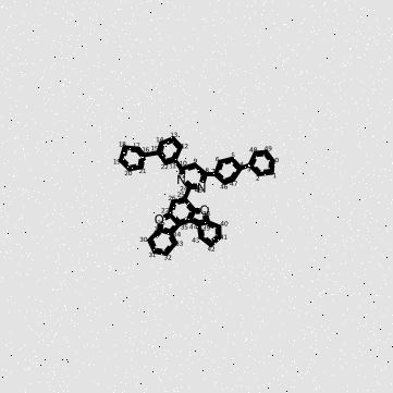 c1ccc(-c2ccc(-c3cc(-c4cccc(-c5ccccc5)c4)nc(-c4cc5oc6ccccc6c5c5c4oc4ccccc45)n3)cc2)cc1